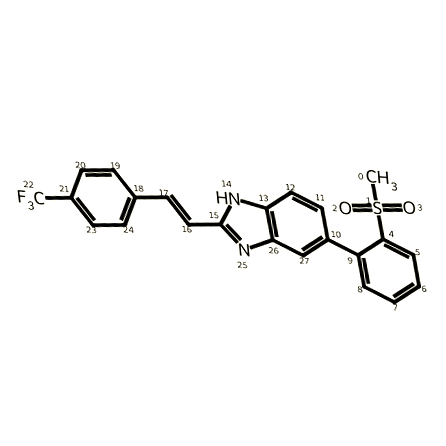 CS(=O)(=O)c1ccccc1-c1ccc2[nH]c(C=Cc3ccc(C(F)(F)F)cc3)nc2c1